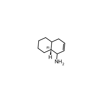 NC1C=CCC2CCCC[C@@H]12